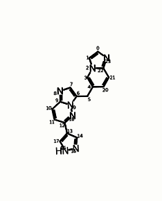 c1cn2cc(Cc3cnc4ccc(-c5cn[nH]c5)nn34)ccc2n1